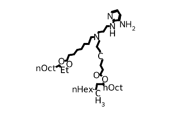 CCCCCCCCC(CC)OC(=O)CCCCCCCN(CCCCCCCC(=O)OC(CCCCCCCC)C[C@H](C)CCCCCC)CCCNc1ncccc1N